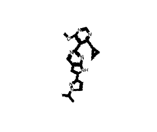 COc1ncnc(C2CC2)c1-c1ncc2cc(-c3ccn(C(C)C)n3)[nH]c2n1